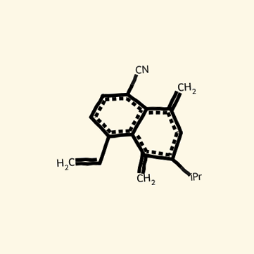 C=Cc1ccc(C#N)c2c(=C)cc(C(C)C)c(=C)c12